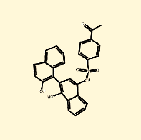 CC(=O)c1ccc(S(=O)(=O)Nc2cc(-c3c(O)ccc4ccccc34)c(O)c3ccccc23)cc1